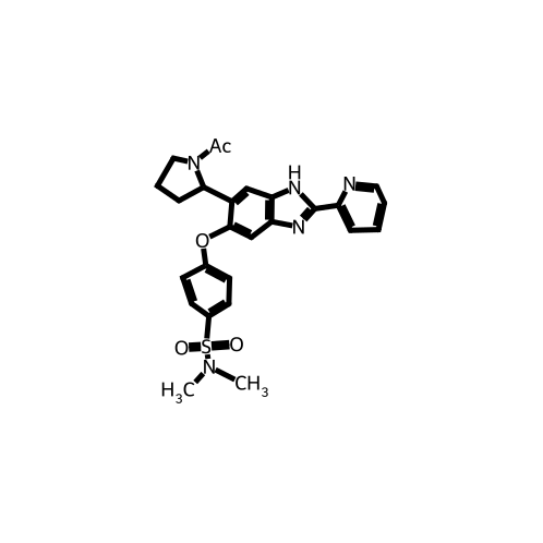 CC(=O)N1CCCC1c1cc2[nH]c(-c3ccccn3)nc2cc1Oc1ccc(S(=O)(=O)N(C)C)cc1